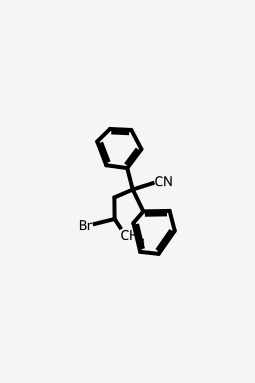 CC(Br)CC(C#N)(c1ccccc1)c1ccccc1